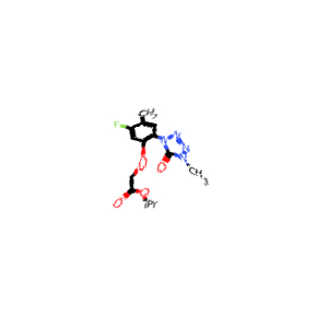 Cc1cc(-n2nnn(C)c2=O)c(OCC(=O)OC(C)C)cc1F